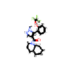 Cn1ncc(C(=O)N2CCCC3CCCCC32)c1-c1ccccc1OC(F)(F)F